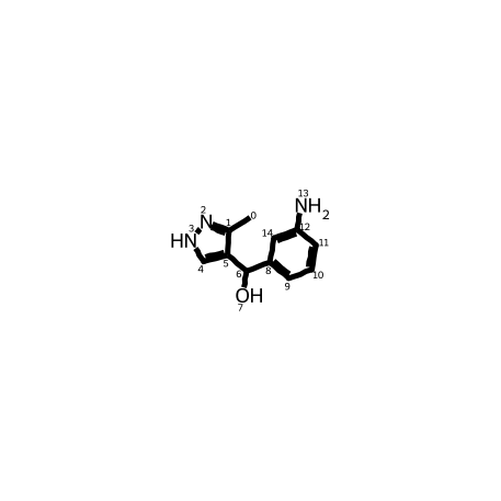 Cc1n[nH]cc1C(O)c1cccc(N)c1